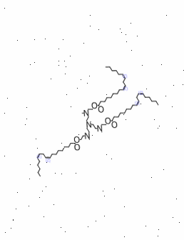 CCCCC/C=C\C/C=C\CCCCCCCC(=O)OCCN(C)CCN(CCN(C)CCOC(=O)CCCCCCC/C=C\C/C=C\CCCCC)CCN(C)CCOC(=O)CCCCCCC/C=C\C/C=C\CCCCC